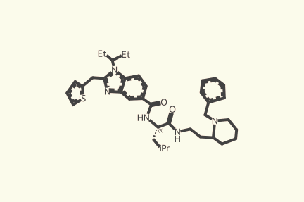 CCC(CC)n1c(Cc2cccs2)nc2cc(C(=O)N[C@@H](CC(C)C)C(=O)NCCC3CCCCN3Cc3ccccc3)ccc21